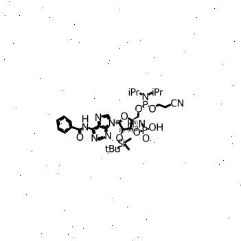 CC(C)N(C(C)C)P(OCCC#N)OC[C@@H]1O[C@@H](n2cnc3c(NC(=O)c4ccccc4)ncnc32)[C@H](O[Si](C)(C)C(C)(C)C)[C@@H]1OP(N)(=O)O